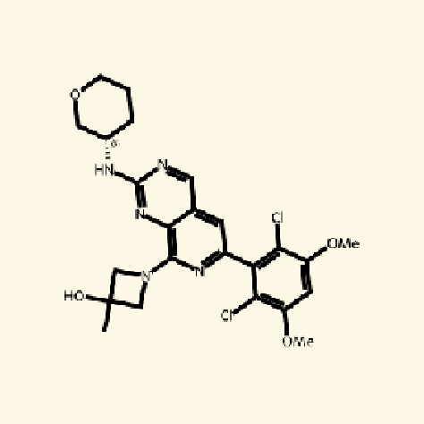 COc1cc(OC)c(Cl)c(-c2cc3cnc(N[C@H]4CCCOC4)nc3c(N3CC(C)(O)C3)n2)c1Cl